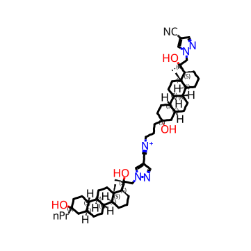 CCC[C@@]1(O)CC[C@H]2[C@@H](CC[C@@H]3[C@@H]2CC[C@@]2(C)[C@H]3CCC[C@@H]2[C@](C)(O)Cn2cc(C#[N+]CCC[C@@]3(O)CC[C@H]4[C@@H](CC[C@@H]5[C@@H]4CC[C@@]4(C)[C@H]5CCC[C@@H]4[C@@](C)(O)Cn4cc(C#N)cn4)C3)cn2)C1